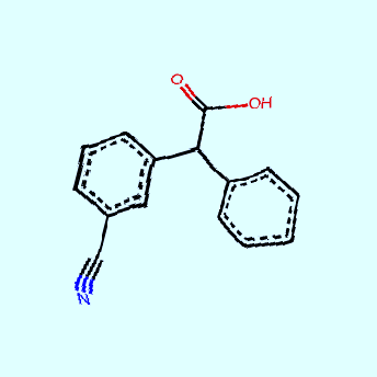 N#Cc1cccc(C(C(=O)O)c2ccccc2)c1